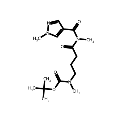 CN(CCCC(=O)N(C)C(=O)c1cnn(C)c1)C(=O)OC(C)(C)C